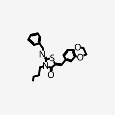 CCCCN1C(=O)/C(=C/c2ccc3c(c2)OCCO3)S/C1=N\Cc1ccccc1